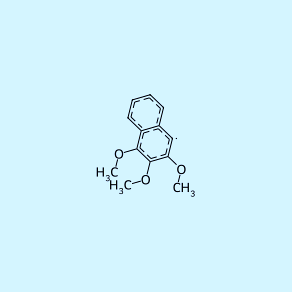 COc1[c]c2ccccc2c(OC)c1OC